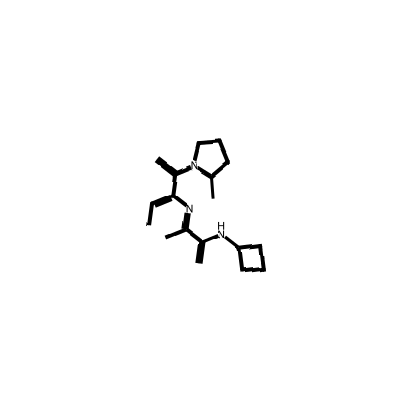 C=C(NC1CCC1)/C(C)=N/C(=C\C)C(=C)N1CCCC1C